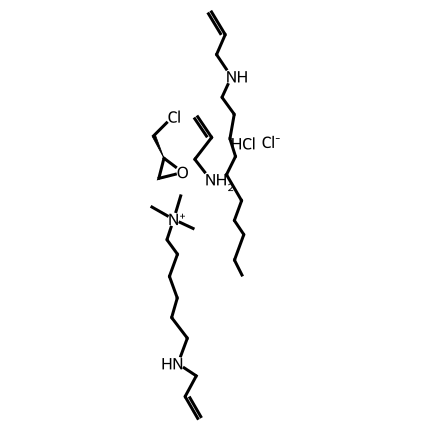 C=CCN.C=CCNCCCCCCCCCC.C=CCNCCCCCC[N+](C)(C)C.Cl.ClC[C@@H]1CO1.[Cl-]